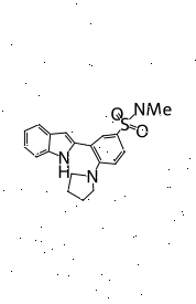 CNS(=O)(=O)c1ccc(N2CCCC2)c(-c2cc3ccccc3[nH]2)c1